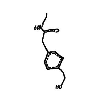 CNC(=O)Cc1ccc(CO)cc1